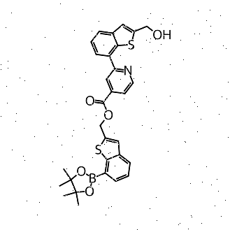 CC1(C)OB(c2cccc3cc(COC(=O)c4ccnc(-c5cccc6cc(CO)sc56)c4)sc23)OC1(C)C